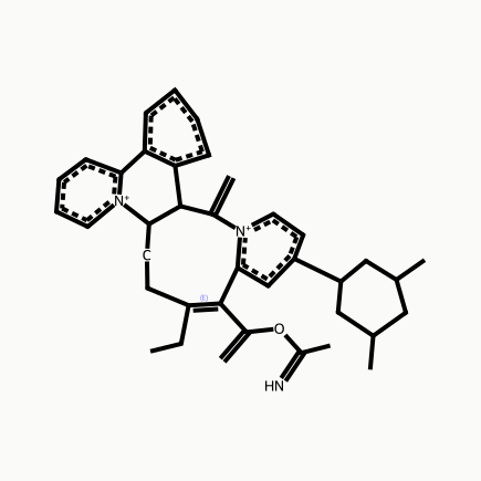 C=C(OC(C)=N)/C1=C(\CC)CCC2C(C(=C)[n+]3ccc(C4CC(C)CC(C)C4)cc31)c1ccccc1-c1cccc[n+]12